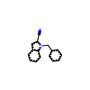 N#Cc1cc2ccccc2n1Cc1ccccc1